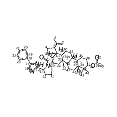 C=C(C)[C@@H]1CC[C@]2(C(=O)N3CCCC3c3ncc(-c4ccccc4)[nH]3)CC[C@]3(C)[C@H](CC[C@@H]4[C@@]5(C)CC[C@H](OC(C)=O)C(C)(C)[C@@H]5CC[C@]43C)[C@@H]12